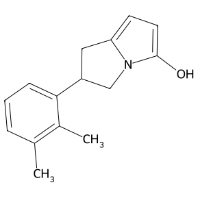 Cc1cccc(C2Cc3ccc(O)n3C2)c1C